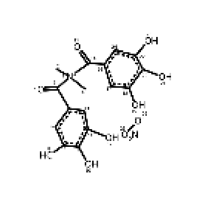 C[N+](C)(C(=O)c1cc(O)c(O)c(O)c1)C(=O)c1cc(O)c(O)c(O)c1.O=[N+]([O-])[O-]